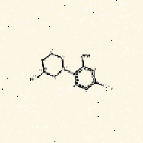 COc1cc(N)ccc1N1CCC[C@H](O)C1